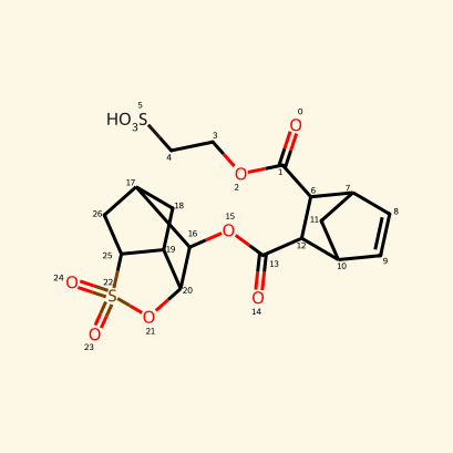 O=C(OCCS(=O)(=O)O)C1C2C=CC(C2)C1C(=O)OC1C2CC3C1OS(=O)(=O)C3C2